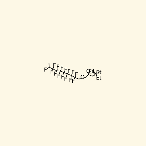 CC[N+](CC)(CC)CC(O)COCC(F)(F)C(F)(F)C(F)(F)C(F)(F)C(F)(F)C(F)(F)C(F)(F)C(C)F